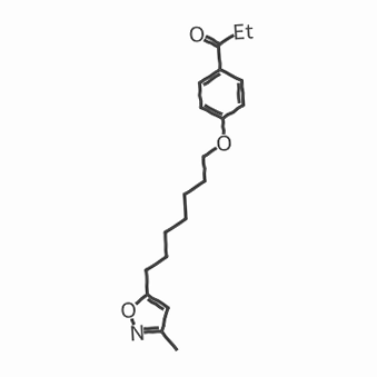 CCC(=O)c1ccc(OCCCCCCCc2cc(C)no2)cc1